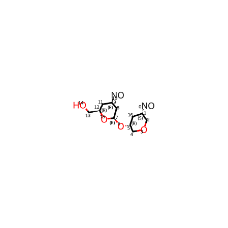 O=N[C@@H]1COC[C@H](O[C@@H]2C[C@H](N=O)C[C@H](CO)O2)C1